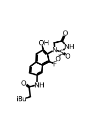 CCC(C)CC(=O)Nc1ccc2cc(O)c(N3CC(=O)NS3(=O)=O)c(F)c2c1